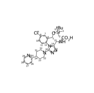 CC(C)(C)[Si](C)(C)OCc1cc(Cl)ccc1-n1c(CNC(=O)O)nnc1N1CCC(c2ccccn2)CC1